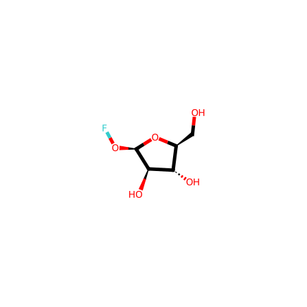 OC[C@@H]1O[C@H](OF)[C@H](O)[C@H]1O